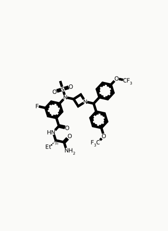 CC[C@H](NC(=O)c1cc(F)cc(N(C2CN(C(c3ccc(OC(F)(F)F)cc3)c3ccc(OC(F)(F)F)cc3)C2)S(C)(=O)=O)c1)C(N)=O